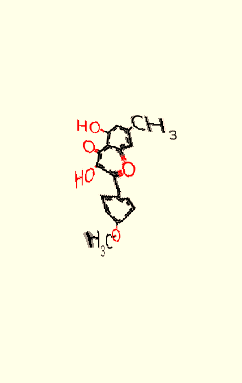 COc1ccc(-c2oc3cc(C)cc(O)c3c(=O)c2O)cc1